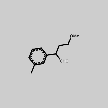 [CH2]c1cccc(C([C]=O)CCOC)c1